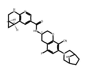 N#Cc1c(N2CC3CCC(C2)N3)cc(F)c2c1OC[C@H](NC(=O)c1cnc3c(c1)[C@H]1C[C@H]1CN3)C2